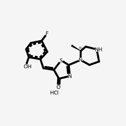 C[C@H]1CNCCN1C1=NC(=O)C(=Cc2cc(F)ccc2O)S1.Cl